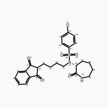 O=C1c2ccccc2C(=O)C1CCCCN([C@@H]1CCCCNC1=O)S(=O)(=O)c1ccc(Cl)cc1